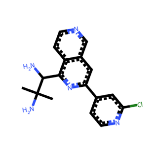 CC(C)(N)C(N)c1nc(-c2ccnc(Cl)c2)cc2cnccc12